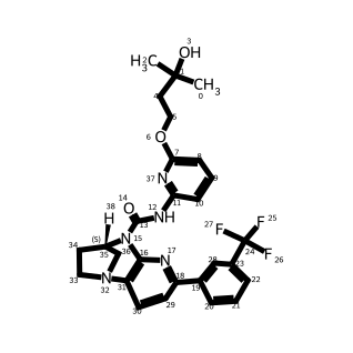 CC(C)(O)CCOc1cccc(NC(=O)N2c3nc(-c4cccc(C(F)(F)F)c4)ccc3N3CC[C@H]2C3)n1